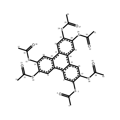 CC(=O)Sc1cc2c3cc(SC(C)=O)c(SC(C)=O)cc3c3cc(SC(C)=O)c(SC(C)=O)cc3c2cc1SC(C)=O